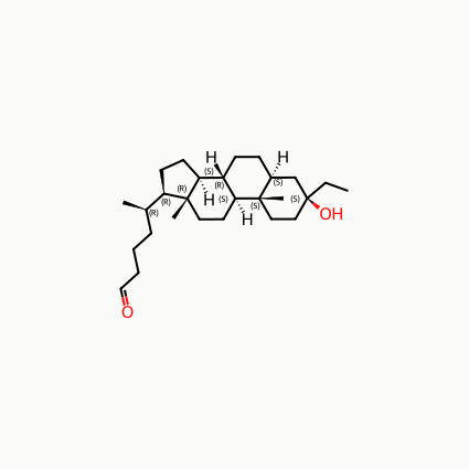 CC[C@]1(O)CC[C@@]2(C)[C@@H](CC[C@@H]3[C@@H]2CC[C@]2(C)[C@@H]([C@H](C)CCCC=O)CC[C@@H]32)C1